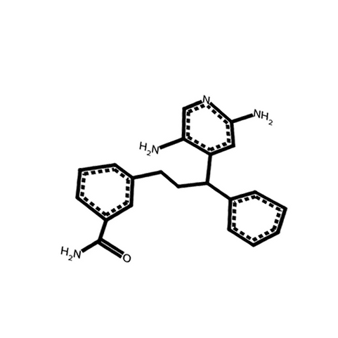 NC(=O)c1cccc(CCC(c2ccccc2)c2cc(N)ncc2N)c1